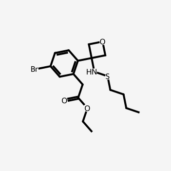 CCCCSNC1(c2ccc(Br)cc2CC(=O)OCC)COC1